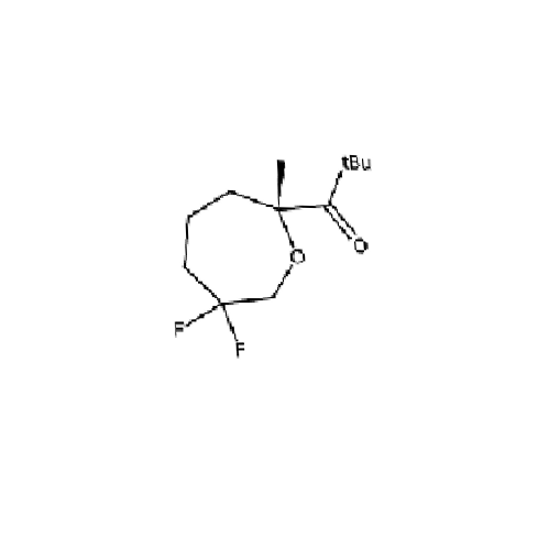 CC(C)(C)C(=O)[C@@]1(C)CCCC(F)(F)CO1